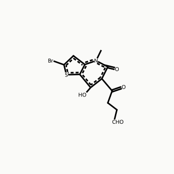 Cn1c(=O)c(C(=O)CCC=O)c(O)c2sc(Br)cc21